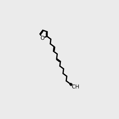 C#CCCCCC/C=C/C/C=C/CCc1ccco1